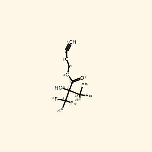 C#CCCOC(=O)C(O)(C(F)(F)F)C(F)(F)F